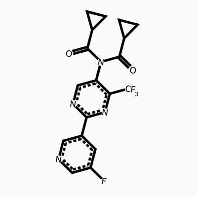 O=C(C1CC1)N(C(=O)C1CC1)c1cnc(-c2cncc(F)c2)nc1C(F)(F)F